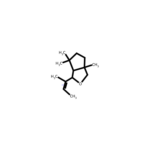 C/C=C(/C)C1OCC2(C)CCC(C)(C)C12